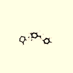 CC1CCCCC1NS(=O)(=O)c1cc(C(=O)Nc2ccc(F)c(Br)c2)c(Cl)cc1F